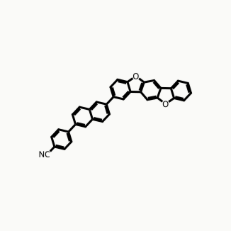 N#Cc1ccc(-c2ccc3cc(-c4ccc5oc6cc7c(cc6c5c4)oc4ccccc47)ccc3c2)cc1